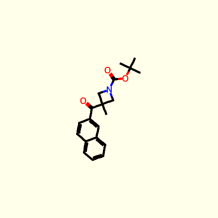 CC(C)(C)OC(=O)N1CC(C)(C(=O)c2ccc3ccccc3c2)C1